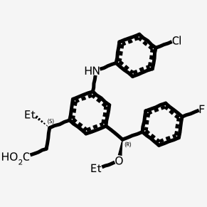 CCO[C@H](c1ccc(F)cc1)c1cc(Nc2ccc(Cl)cc2)cc([C@@H](CC)CC(=O)O)c1